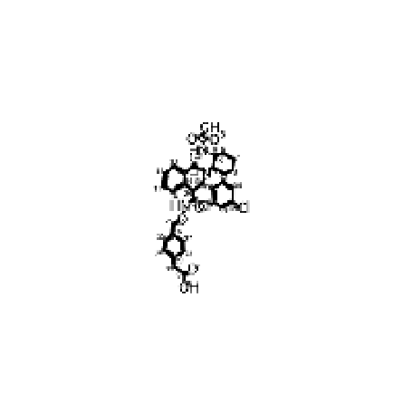 CS(=O)(=O)N[C@H]1CCCC[C@@H]1N1C(=O)c2ccccc2[C@H](C(=O)NOCc2ccc(CC(=O)O)cc2)[C@H]1c1ccc(Cl)cc1Cl